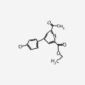 CCOC(=O)c1cc(-c2ccc(Cl)cc2)cc(C(C)=O)n1